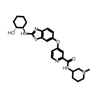 CN1CCCC(NC(=O)c2cc(Oc3ccc4nc(N[C@@H]5CCCC[C@H]5O)sc4c3)ccn2)C1